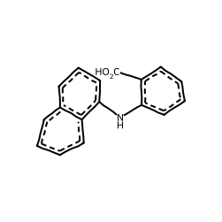 O=C(O)c1ccccc1Nc1cccc2ccccc12